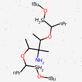 CCCC(OC(C)C(C)(N)C(C)OC(CCC)[SiH2]OC(C)(C)C)[SiH2]OC(C)(C)C